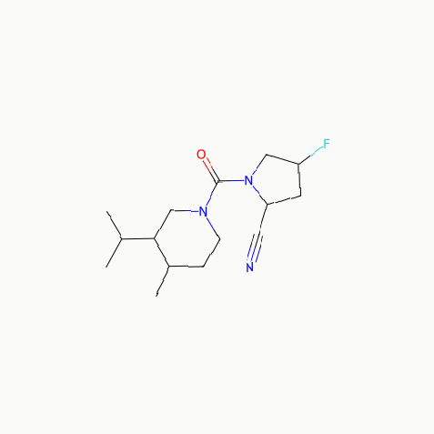 CC(C)C1CN(C(=O)N2CC(F)CC2C#N)CCC1C